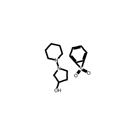 O=S1(=O)c2ccccc21.OC1CCN(N2CCCCC2)C1